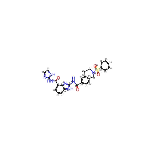 O=C(Nc1nc2c(C(=O)Nc3ncc[nH]3)cccc2[nH]1)c1ccc2c(c1)CCN(S(=O)(=O)c1ccccc1)C2